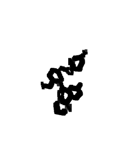 Cc1ccc(-c2ncccn2)c(C(=O)N2C[C@@H](COc3ccc(F)cn3)CCC2CI)c1